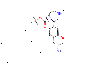 CC(C)(C)OC(=O)N1C2CCC1(c1ccc3c(c1)OCC(N)C3)CNC2